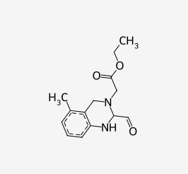 CCOC(=O)CN1Cc2c(C)cccc2NC1C=O